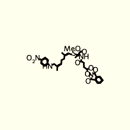 COC(=O)C(C)(NC(=O)CCC(=O)ON1C(=O)c2ccccc2C1=O)SCC=C(C)CCC=C(C)CNc1ccc([N+](=O)[O-])cc1